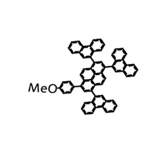 COc1ccc(-c2cc(-c3cc4ccccc4c4ccccc34)c3ccc4c(-c5cc6ccccc6c6ccccc56)cc(-c5cc6ccccc6c6ccccc56)c5ccc2c3c54)cc1